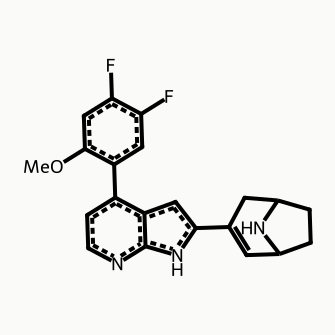 COc1cc(F)c(F)cc1-c1ccnc2[nH]c(C3=CC4CCC(C3)N4)cc12